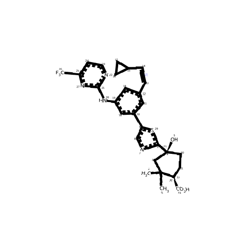 CC1(C)C[C@](O)(c2ncc(-c3cc(/C=C\C4CC4)cc(Nc4nccc(C(F)(F)F)n4)c3)s2)CC[C@H]1C(=O)O